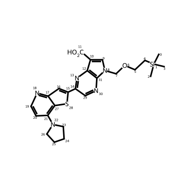 C[Si](C)(C)CCOCn1cc(C(=O)O)c2nc(-c3cc4nccc(N5CCCC5)c4s3)cnc21